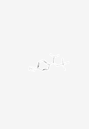 CC(C)C(CC(C)(C)C)c1ccc(S)cc1